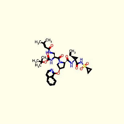 C=C[C@H]1C[C@]1(NC(=O)[C@@H]1C[C@@H](Oc2nccc3ccccc23)CN1C(=O)[C@H](CNC(=O)C=C(C)C)NC(=O)OC(C)(C)C)C(=O)NS(=O)(=O)C1CC1